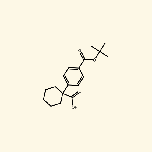 CC(C)(C)OC(=O)c1ccc(C2(C(=O)O)CCCCC2)cc1